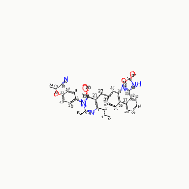 CCCc1nc(C)n(-c2ccc(OC(C)C#N)cc2)c(=O)c1Cc1ccc(-c2ccccc2-c2noc(=O)[nH]2)cc1